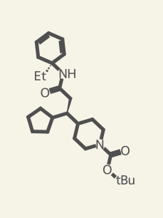 CC[C@@]1(NC(=O)C[C@H](C2CCCC2)C2CCN(C(=O)OC(C)(C)C)CC2)C=CC=CC1